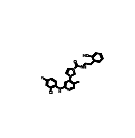 Cc1cnc(Nc2ccc(F)cc2Cl)cc1N1C=CN(C(=O)NCCc2ccccc2O)C1